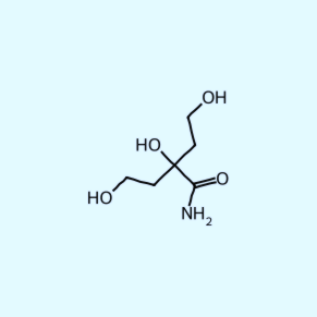 NC(=O)C(O)(CCO)CCO